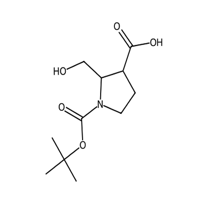 CC(C)(C)OC(=O)N1CCC(C(=O)O)C1CO